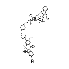 CCc1cc2c(cc1N1CCC(CC3CCN(CCCNC(=O)[C@H](CCCn4c(N)nc5ccccc54)NC(=O)OC(C)(C)C)CC3)CC1)C(C)(C)c1[nH]c3cc(C#N)ccc3c1C2=O